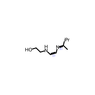 C/C(=N\C=C/NCCO)C(C)C